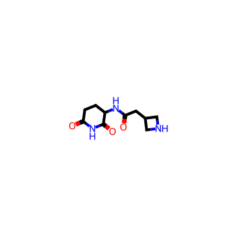 O=C1CCC(NC(=O)CC2CNC2)C(=O)N1